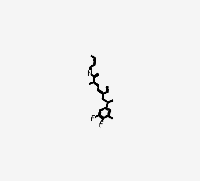 C=C/C(=C\C=C(/C)C(=C)/N=C\C=C/C)CC(C)c1cc(C)c(F)c(F)c1